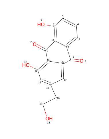 O=C1c2cccc(O)c2C(=O)c2c(O)cc(CCO)cc21